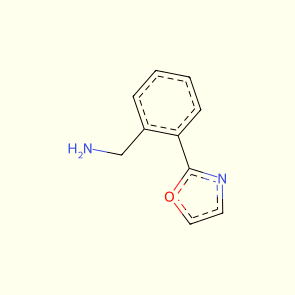 NCc1ccccc1-c1ncco1